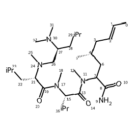 C/C=C/C[C@@H](C)CC(C(N)=O)N(C)C(=O)[C@H](C(C)C)N(C)C(=O)[C@H](CC(C)C)N(C)C[C@H](CC(C)C)N(C)C